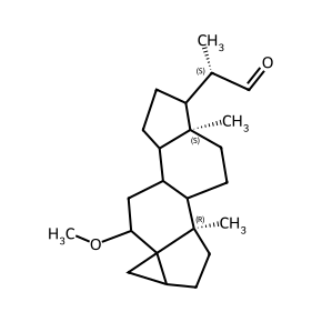 COC1CC2C3CCC([C@H](C)C=O)[C@@]3(C)CCC2[C@@]2(C)CCC3CC312